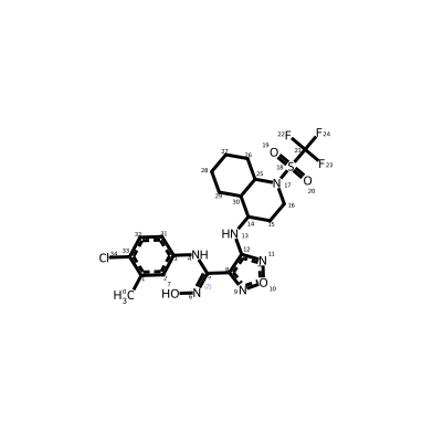 Cc1cc(N/C(=N\O)c2nonc2NC2CCN(S(=O)(=O)C(F)(F)F)C3CCCCC23)ccc1Cl